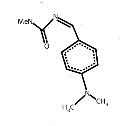 CNC(=O)/N=C\c1ccc(N(C)C)cc1